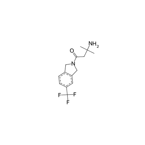 CC(C)(N)CC(=O)N1Cc2ccc(C(F)(F)F)cc2C1